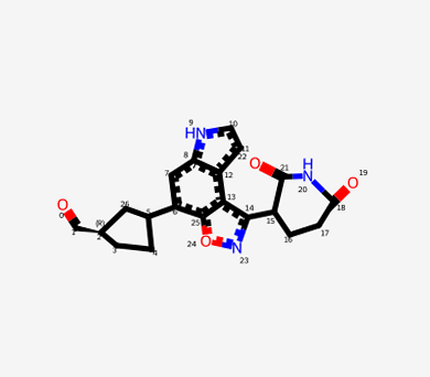 O=C[C@@H]1CCC(c2cc3[nH]ccc3c3c(C4CCC(=O)NC4=O)noc23)C1